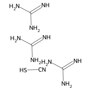 N#CS.N=C(N)N.N=C(N)N.N=C(N)N